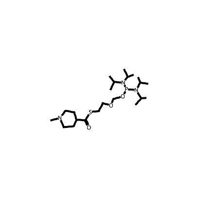 CC(C)N(C(C)C)P(OCOCCSC(=O)C1CCN(C)CC1)N(C(C)C)C(C)C